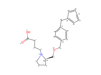 O=C(O)CCCN1CCC[C@@H]1COCc1ccc(Cc2ccccc2)cc1